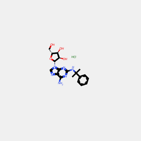 CC(C)(Nc1nc(N)c2ncn([C@@H]3O[C@H](CO)[C@@H](O)[C@H]3O)c2n1)c1ccccc1.Cl